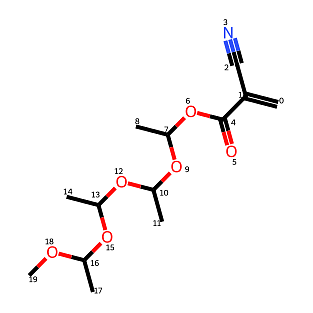 C=C(C#N)C(=O)OC(C)OC(C)OC(C)OC(C)OC